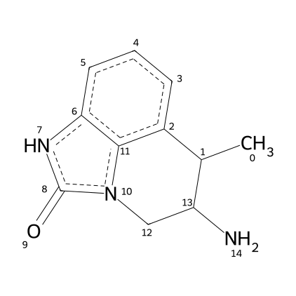 CC1c2cccc3[nH]c(=O)n(c23)CC1N